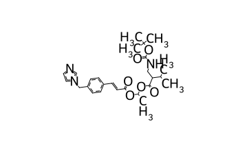 CC(OC(=O)/C=C/c1ccc(Cn2ccnc2)cc1)OC(=O)C(CNC(=O)OC(C)(C)C)C(C)C